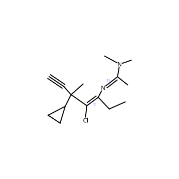 C#CC(C)(/C(Cl)=C(CC)\N=C(/C)N(C)C)C1CC1